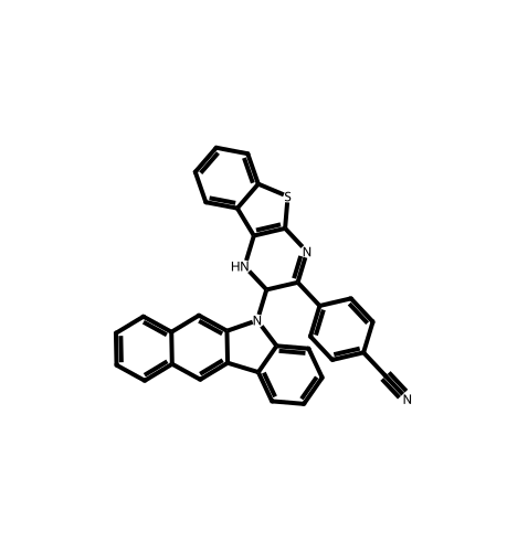 N#Cc1ccc(C2=Nc3sc4ccccc4c3NC2n2c3ccccc3c3cc4ccccc4cc32)cc1